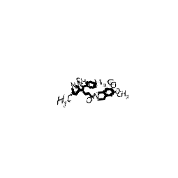 COc1cc2c(cc1OC)CN(C(=O)C=Cc1c(-c3ccccc3)n(C)c3ncc(C)cc13)CC2